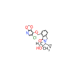 CC(C)(O)C(C1CC1)N1Cc2cccc(COc3c(Cl)cnc4c3OCO4)c2C1=O